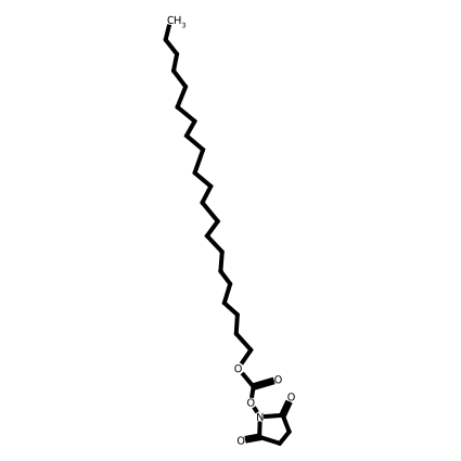 CCCCCCCCCCCCCCCCCCCCCOC(=O)ON1C(=O)CCC1=O